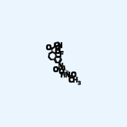 CC(=O)NC[C@H]1CN(c2cc(F)c3c(c2)CCC[C@@H](C(=O)c2ccno2)C3=O)C(=O)O1